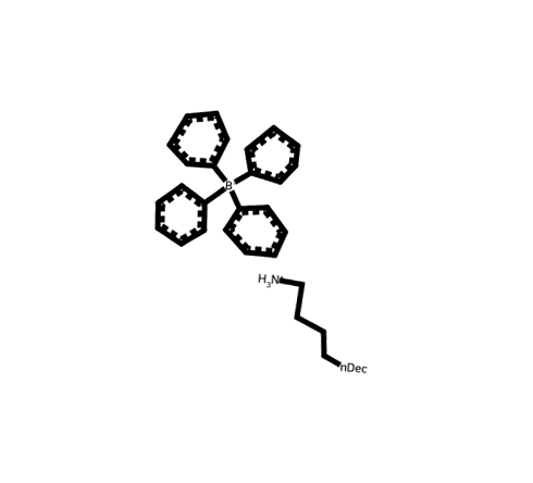 CCCCCCCCCCCCCC[NH3+].c1ccc([B-](c2ccccc2)(c2ccccc2)c2ccccc2)cc1